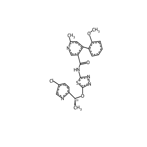 COc1ccccc1-c1cc(C)ncc1C(=O)Nc1nnc(O[C@@H](C)c2ccc(Cl)cn2)s1